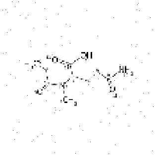 CCC(=O)N(C)C(CCC(N)=O)C(=O)O